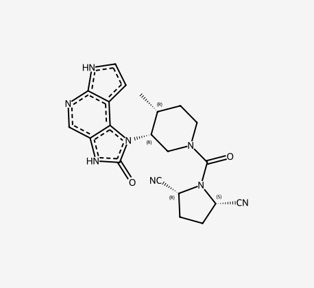 C[C@@H]1CCN(C(=O)N2[C@H](C#N)CC[C@@H]2C#N)C[C@@H]1n1c(=O)[nH]c2cnc3[nH]ccc3c21